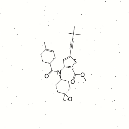 COC(=O)c1sc(C#CC(C)(C)C)cc1N(C(=O)C1CC=C(C)CC1)[C@H]1CC[C@@]2(CC1)CO2